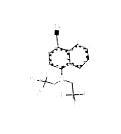 N#Cc1ccc(N(CC(F)(F)F)CC(F)(F)F)c2ccccc12